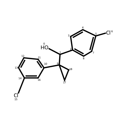 OC(c1ccc(Cl)cc1)C1(c2cccc(Cl)c2)CC1